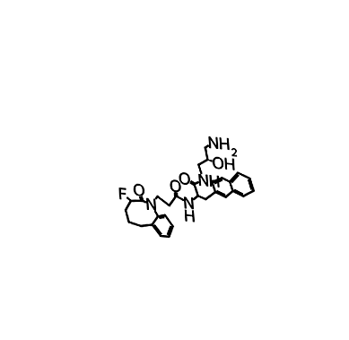 NC[C@@H](O)CNC(=O)C(Cc1ccc2ccccc2c1)NC(=O)CCN1C(=O)C(F)CCCc2ccccc21